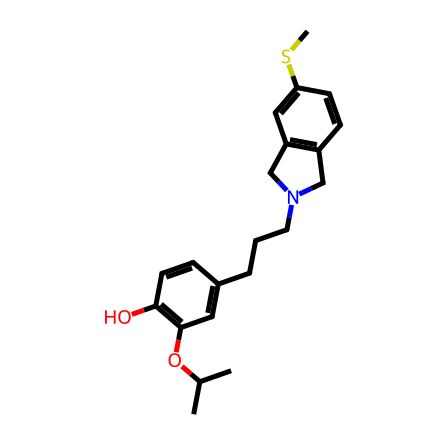 CSc1ccc2c(c1)CN(CCCc1ccc(O)c(OC(C)C)c1)C2